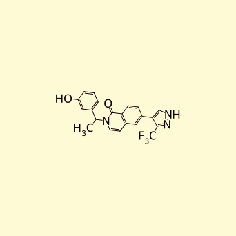 CC(c1cccc(O)c1)n1ccc2cc(-c3c[nH]nc3C(F)(F)F)ccc2c1=O